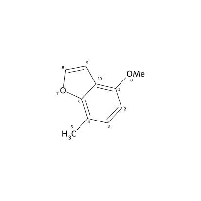 COc1ccc(C)c2occc12